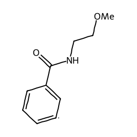 COCCNC(=O)c1c[c]ccc1